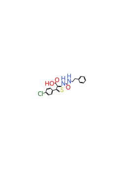 O=C(NCCc1ccccc1)Nc1scc(-c2ccc(Cl)cc2)c1C(=O)O